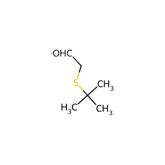 CC(C)(C)SC[C]=O